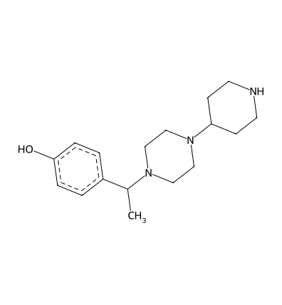 CC(c1ccc(O)cc1)N1CCN(C2CCNCC2)CC1